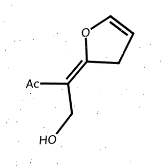 CC(=O)C(CO)=C1CC=CO1